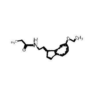 CCOc1ccc2c(c1)C(=CCNC(=O)CC)CC2